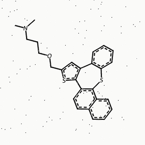 CN(C)CCCOCc1cc2c(s1)-c1ccc3ccccc3c1Sc1ccccc1-2